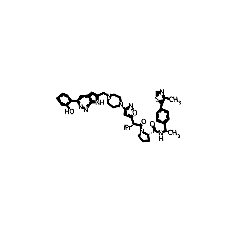 Cc1ncsc1-c1ccc([C@H](C)NC(=O)[C@@H]2CCCN2C(=O)[C@@H](c2cc(N3CCN(Cc4cc5cc(-c6ccccc6O)nnc5[nH]4)CC3)no2)C(C)C)cc1